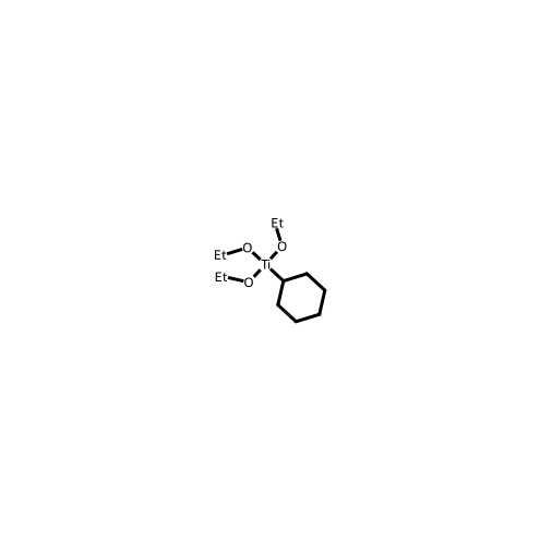 CC[O][Ti]([O]CC)([O]CC)[CH]1CCCCC1